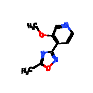 COc1cnccc1-c1noc(C)n1